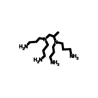 CC(CN(CCCN)CCCN)N(CCCN)CCCN